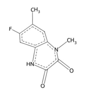 Cc1cc2c(cc1F)[nH]c(=O)c(=O)n2C